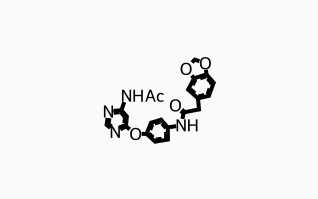 CC(=O)Nc1cc(Oc2ccc(NC(=O)Cc3ccc4c(c3)OCO4)cc2)ncn1